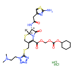 CN(C)CCn1nnnc1SCC1=C(C(=O)OCOC(=O)OC2CCCCC2)N2C(=O)[C@@H](NC(=O)Cc3csc(N)n3)[C@H]2SC1.Cl.Cl